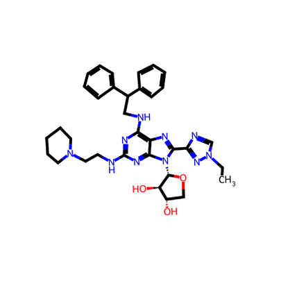 CCn1cnc(-c2nc3c(NCC(c4ccccc4)c4ccccc4)nc(NCCN4CCCCC4)nc3n2[C@@H]2OC[C@H](O)[C@H]2O)n1